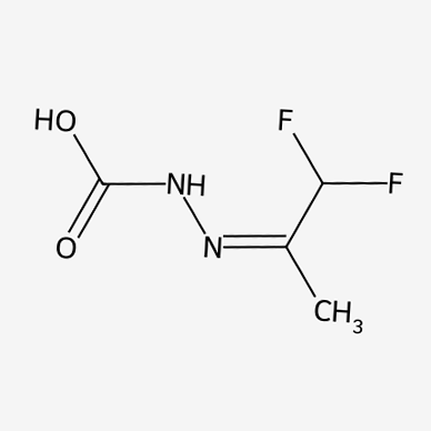 CC(=NNC(=O)O)C(F)F